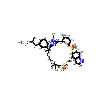 CC(Cc1cccc(C2(C)CCCC(C)(C)CS(=O)(=O)CCc3c(c(F)cc4[nH]ccc34)S(=O)(=O)c3ccc(F)c(c3)-c3nc2nn3C)c1)C(=O)O